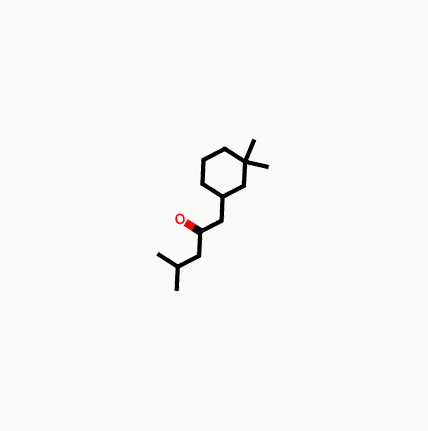 CC(C)CC(=O)CC1CCCC(C)(C)C1